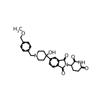 COCc1ccc(CN2CCC(O)(c3ccc4c(c3)C(=O)N(C3CCC(=O)NC3=O)C4=O)CC2)cc1